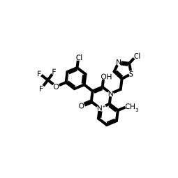 Cc1ccc[n+]2c(=O)c(-c3cc(Cl)cc(OC(F)(F)F)c3)c(O)n(Cc3cnc(Cl)s3)c12